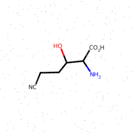 N#CCCC(O)C(N)C(=O)O